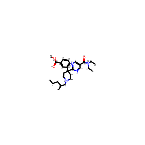 CCCC(C)CN1CCC(c2cccc(C(=O)OC)c2)(c2ncc(C(=O)N(CC)CC)cn2)CC1